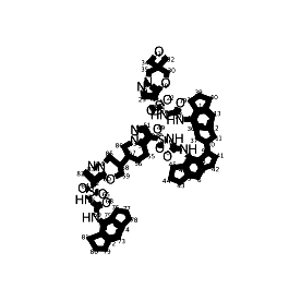 O=C(Nc1c2c(cc3c1C(C1Cc4cc5c(c(NC(=O)NS(=O)(=O)c6cnn7c6OCC6(COC6)C7)c4C1)CCC5)CC3)CCC2)NS(=O)(=O)c1cnn2c1CCC(C1COc3c(S(=O)(=O)NC(=O)Nc4c5c(cc6c4CCC6)CCC5)cnn3C1)C2